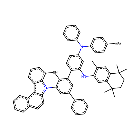 CCCCc1ccc(N(c2ccccc2)c2ccc(-c3cc(-c4ccccc4)cc4c3Bc3cccc5c6c7ccccc7ccc6n-4c35)c(Nc3cc4c(cc3C)C(C)(C)CCC4(C)C)c2)cc1